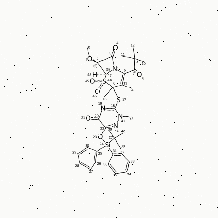 CO[C@H]1C(=O)N2C(C(=O)C(C)(C)C)=C(C)C(C)(Sc3nc(=O)c(O[Si](c4ccccc4)(c4ccccc4)C(C)(C)C)nn3C)S(=O)(=O)[C@@H]12